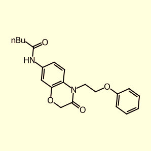 CCCCC(=O)Nc1ccc2c(c1)OCC(=O)N2CCOc1ccccc1